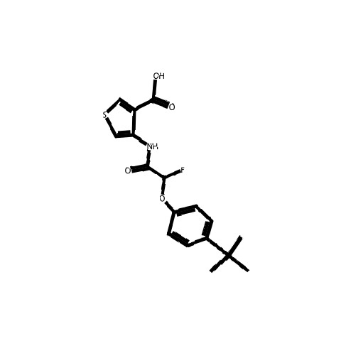 CC(C)(C)c1ccc(OC(F)C(=O)Nc2cscc2C(=O)O)cc1